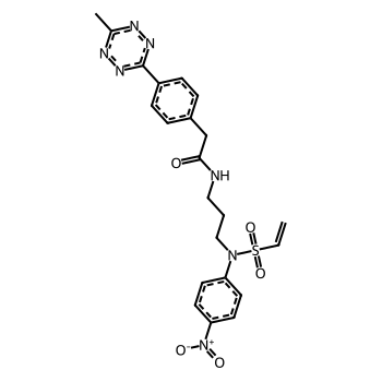 C=CS(=O)(=O)N(CCCNC(=O)Cc1ccc(-c2nnc(C)nn2)cc1)c1ccc([N+](=O)[O-])cc1